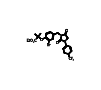 CCOC(=O)C(C)(C)Oc1ccc(CN2C(=O)CN(C3=CCC(C(F)(F)F)C=C3)C2=O)cc1Br